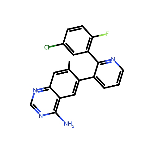 Cc1cc2ncnc(N)c2cc1-c1cccnc1-c1cc(Cl)ccc1F